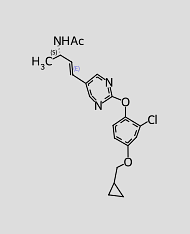 CC(=O)N[C@@H](C)/C=C/c1cnc(Oc2ccc(OCC3CC3)cc2Cl)nc1